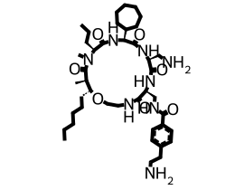 CCCCCC[C@H]1OCCNC(=O)[C@H](CNC(=O)c2ccc(CCN)cc2)NC(=O)[C@H](CN)NC(=O)[C@H](C2CCCCCC2)NC(=O)[C@H](CCC)N(C)C(=O)[C@@H]1C